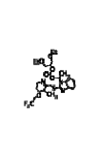 CCOCC(COCC)OC(=O)OC(C)n1c(SCc2nccc(OCC(F)(F)F)c2C)nc2ccccc21